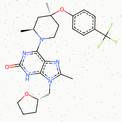 Cc1nc2c(N3CC[C@](C)(Oc4ccc(C(F)(F)F)cc4)C[C@@H]3C)nc(=O)[nH]c2n1C[C@@H]1CCCO1